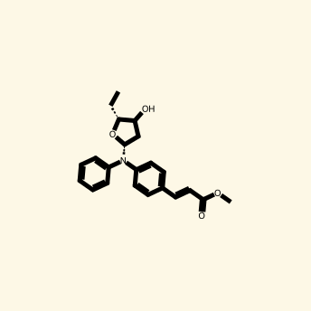 CC[C@H]1O[C@@H](N(c2ccccc2)c2ccc(/C=C/C(=O)OC)cc2)CC1O